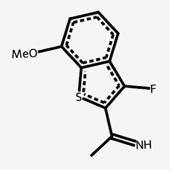 COc1cccc2c(F)c(C(C)=N)sc12